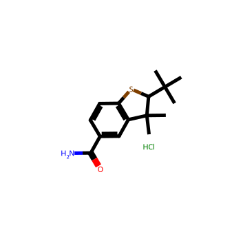 CC(C)(C)C1Sc2ccc(C(N)=O)cc2C1(C)C.Cl